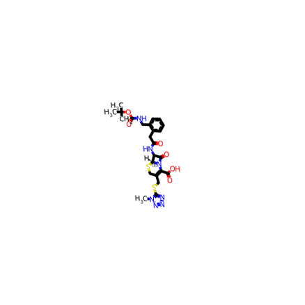 Cn1nnnc1SCC1=C(C(=O)O)N2C(=O)C(NC(=O)Cc3ccccc3CNC(=O)OC(C)(C)C)[C@@H]2SC1